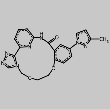 Cc1ccn(-c2ccc3c(c2)C(=O)Nc2cccc(n2)-c2nncn2CCCCO3)n1